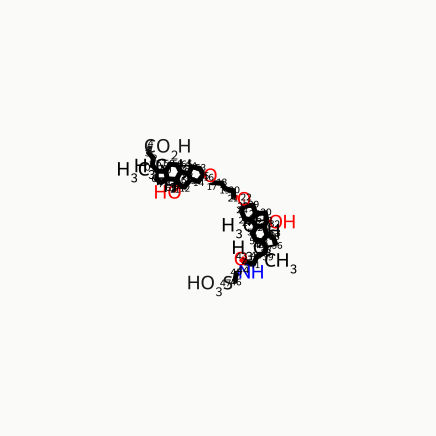 C[C@@H](CCC(=O)O)[C@@H]1CC[C@@H]2C3[C@H](O)CC4C[C@@H](OCCCCCO[C@H]5CC[C@]6(C)C(C5)C[C@@H](O)C5[C@H]7CC[C@@H]([C@@H](C)CCC(=O)NCCS(=O)(=O)O)[C@]7(C)CC[C@H]56)CC[C@@]4(C)[C@@H]3CC[C@]21C